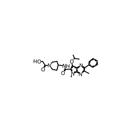 Cc1nc2c(nc1-c1ccccc1)c(OC(C)C)c(C(=O)NC1CCN(C(=O)CO)CC1)n2C